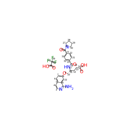 Nc1nccc2ccc(OC[C@@H](CCC(=O)O)NC(=O)c3ccc(C(=O)N4CCCC4)cc3)cc12.O=C(O)C(F)(F)F